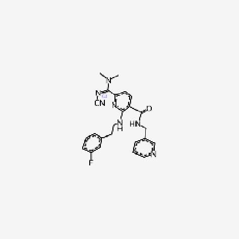 CN(C)/C(=N/C#N)c1ccc(C(=O)NCc2cccnc2)c(NCCc2cccc(F)c2)n1